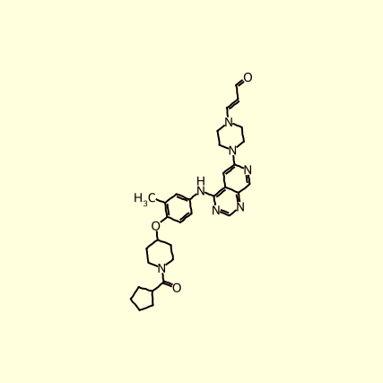 Cc1cc(Nc2ncnc3cnc(N4CCN(C=CC=O)CC4)cc23)ccc1OC1CCN(C(=O)C2CCCC2)CC1